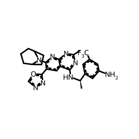 Cc1nc(N[C@H](C)c2cc(N)cc(C(F)(F)F)c2)c2cc(-c3nnco3)c(N3C4CCCC3CC4)nc2n1